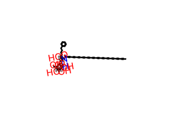 CC#CC#CC#CC#CC#CC#CC#CC#CC#CC#CC#CC#CC(=O)N[C@@H](CO[C@H]1OC(CO)[C@H](O)[C@H](O)C1O)[C@H](O)CCCCc1ccccc1